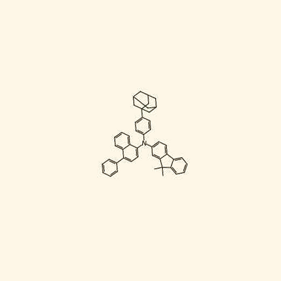 CC1(C)c2ccccc2-c2ccc(N(c3ccc(C45CC6CC(CC(C6)C4)C5)cc3)c3ccc(-c4ccccc4)c4ccccc34)cc21